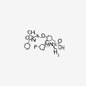 Cc1oc(-c2ccccc2)nc1CCOc1ccc(CC(C)(NCc2ccc(F)cc2F)C(=O)O)cc1